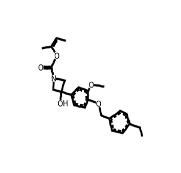 C/C=C(/C)OC(=O)N1CC(O)(c2ccc(OCc3ccc(CC)cc3)c(OC)c2)C1